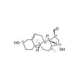 C[C@]12CC[C@H]3[C@@H](CC=C4C[C@@H](O)CC[C@@]43C)[C@@H]1[C@@H](C=O)C[C@@H]2O